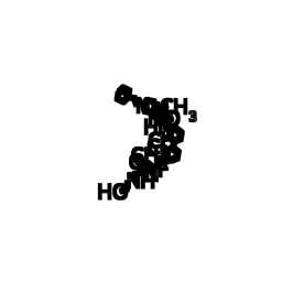 COc1cc(/C(F)=C/c2cccc(-c3cccc(NC(=O)c4nc5c(n4C)CCN(CCC46CCC(CC4)C6)C5)c3Cl)c2Cl)ncc1CNCCO